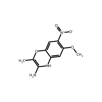 COc1cc2c(cc1[N+](=O)[O-])OC(C)=C(N)N2